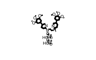 COc1cc(-c2ccc(N(C)CCN(C)c3ccc(-c4cc(OC)c(OC)c(OC)c4)cn3)nc2)cc(OC)c1OC.CS(=O)(=O)O.CS(=O)(=O)O